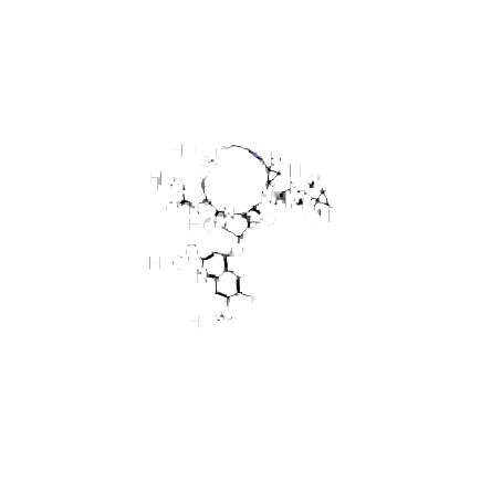 CC[C@@H]1O[C@H](C)CC/C=C\[C@@H]2C[C@@]2(C(=O)NS(=O)(=O)C2(C)CC2)NC(=O)[C@@H]2C[C@@H](Oc3cc(OC)nc4cc(OC)c(F)cc34)CN2C(=O)[C@H]1NC(=O)O